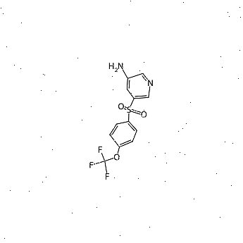 Nc1cncc(S(=O)(=O)c2ccc(OC(F)(F)F)cc2)c1